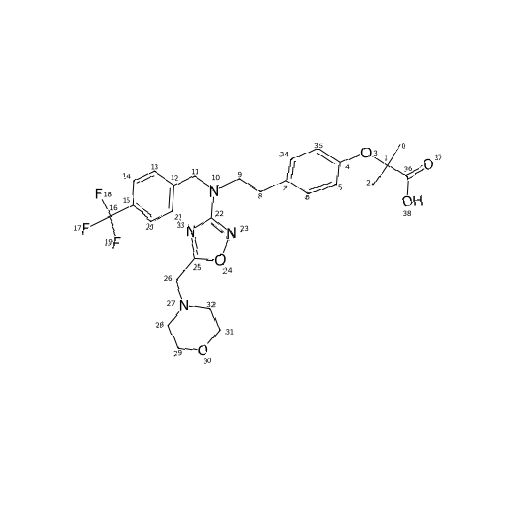 CC(C)(Oc1ccc(CCN(Cc2ccc(C(F)(F)F)cc2)c2noc(CN3CCOCC3)n2)cc1)C(=O)O